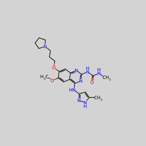 CNC(=O)Nc1nc(Nc2cc(C)[nH]n2)c2cc(OC)c(OCCCN3CCCC3)cc2n1